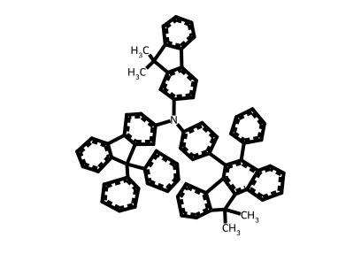 CC1(C)c2ccccc2-c2ccc(N(c3ccc(-c4c5c(c6ccccc6c4-c4ccccc4)C(C)(C)c4ccccc4-5)cc3)c3ccc4c(c3)C(c3ccccc3)(c3ccccc3)c3ccccc3-4)cc21